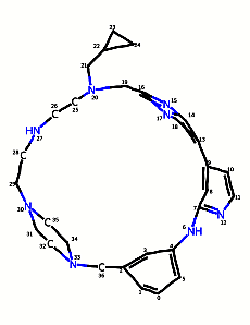 c1cc2cc(c1)Nc1cc(ccn1)-c1cnc(nc1)CN(CC1CC1)CCNCCN1CCN(CC1)C2